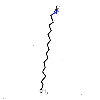 [C-]#[N+]CCCCCCCCCCCCCCCCC